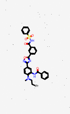 CC(C)CCN(C)c1ccc(-c2noc(-c3cccc(C(=O)NS(=O)(=O)c4ccccc4)c3)n2)cc1NC(=O)c1ccccc1